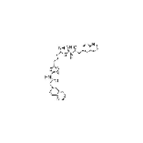 N=C(CCCc1nnc(NC(=O)Cc2ccc3ncccc3c2)s1)SC(=N)NC(=O)Cc1ccc2ncccc2c1